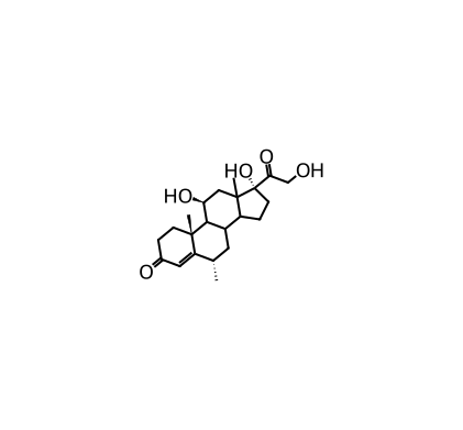 C[C@H]1CC2C3CC[C@](O)(C(=O)CO)C3(C)C[C@H](O)C2[C@@]2(C)CCC(=O)C=C12